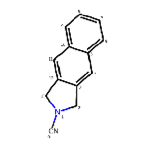 N#CN1Cc2cc3ccccc3cc2C1